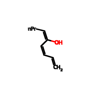 C=C/C=C\C(O)=C/CCC